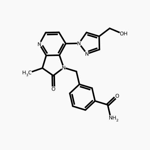 CC1C(=O)N(Cc2cccc(C(N)=O)c2)c2c(-n3cc(CO)cn3)ccnc21